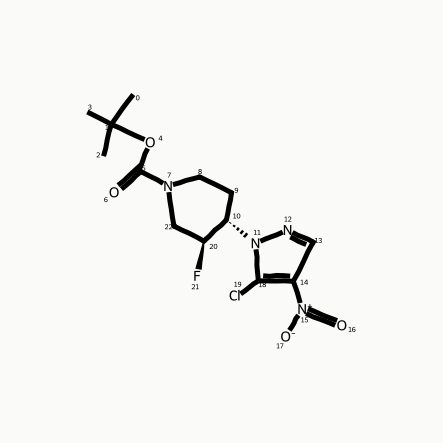 CC(C)(C)OC(=O)N1CC[C@H](n2ncc([N+](=O)[O-])c2Cl)[C@@H](F)C1